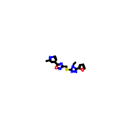 CCn1c(SCc2noc(-c3ccnc(C)c3)n2)nnc1-c1ccco1